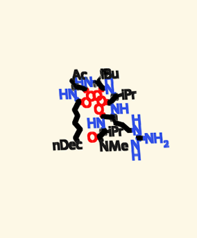 CCCCCCCCCCCCCCCC(=O)N[C@@H](CC(C)=O)C(=O)N[C@H](C(=O)N[C@H](C(=O)N[C@@H](CCCNC(=N)N)C(=O)N[C@H](C(=O)NC)C(C)C)C(C)C)[C@@H](C)CC